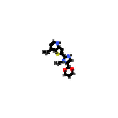 Cc1ccnc2cc(-c3ncc(C4OCCCO4)n3C)sc12